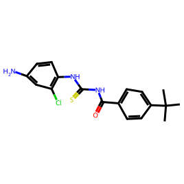 CC(C)(C)c1ccc(C(=O)NC(=S)Nc2ccc(N)cc2Cl)cc1